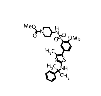 COC(=O)N1CCC(NS(=O)(=O)c2cc(-c3sc(NC(C)(C)c4ccccc4)nc3C)ccc2OC)CC1